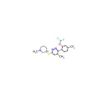 Cc1cc(S[C@@H]2CCCN(C)C2)nnc1-c1ccc(C(F)(F)F)cc1OC(F)F